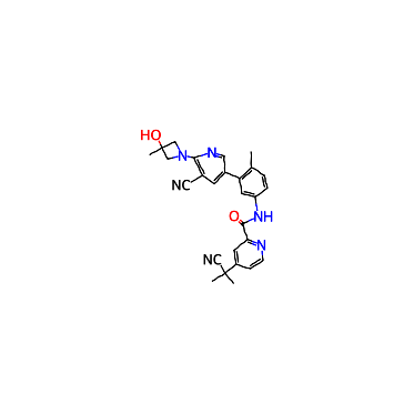 Cc1ccc(NC(=O)c2cc(C(C)(C)C#N)ccn2)cc1-c1cnc(N2CC(C)(O)C2)c(C#N)c1